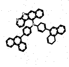 C1=Cc2c(C3=CCC(N(c4ccc(-c5cc6ccccc6c6ccccc56)cc4)c4c5ccccc5cc5oc6ncccc6c45)C=C3)cc3ccccc3c2CC1